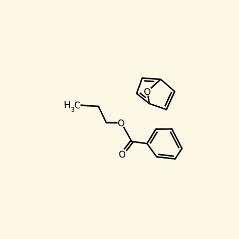 CCCOC(=O)c1ccccc1.c1cc2ccc1o2